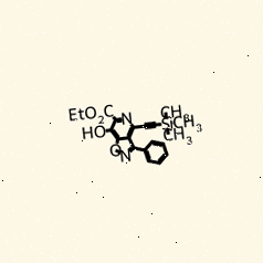 CCOC(=O)c1nc(C#C[Si](C)(C)C)c2c(-c3ccccc3)noc2c1O